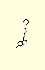 NC(=O)C(CCCCC(=O)Nc1ccccn1)c1ccc(C(F)(F)F)cc1N